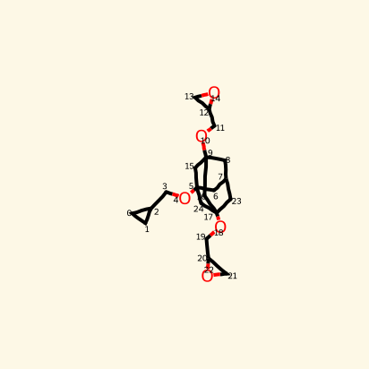 C1CC1COC12CC3CC(OCC4CO4)(C1)CC(OCC1CO1)(C3)C2